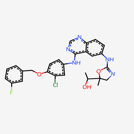 CC(O)C1(C)CN=C(Nc2ccc3ncnc(Nc4ccc(OCc5cccc(F)c5)c(Cl)c4)c3c2)O1